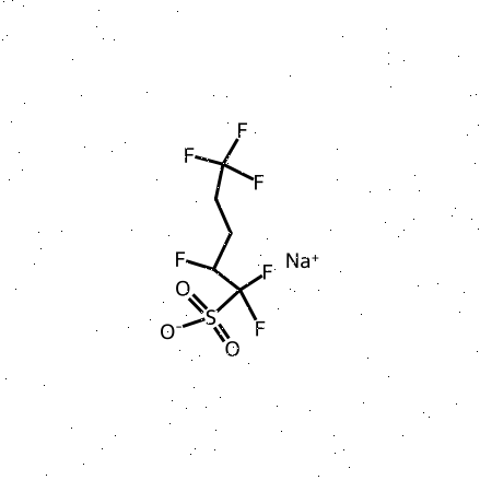 O=S(=O)([O-])C(F)(F)C(F)CCC(F)(F)F.[Na+]